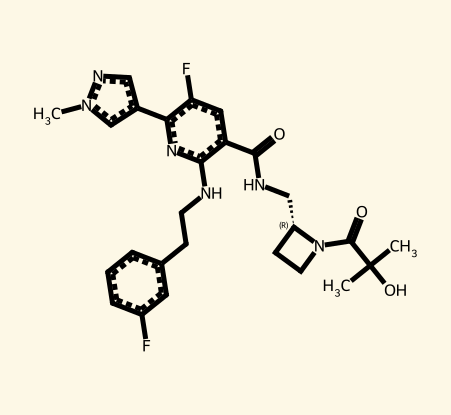 Cn1cc(-c2nc(NCCc3cccc(F)c3)c(C(=O)NC[C@H]3CCN3C(=O)C(C)(C)O)cc2F)cn1